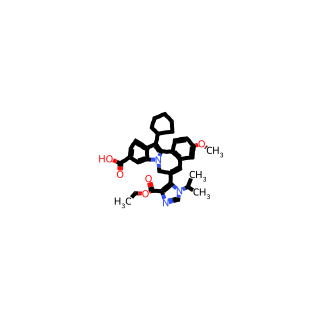 CCOC(=O)c1ncn(C(C)C)c1C1=Cc2cc(OC)ccc2-c2c(C3CCCCC3)c3ccc(C(=O)O)cc3n2C1